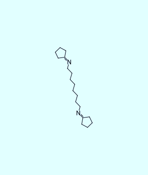 C(CCCCN=C1CCCC1)CCCN=C1CCCC1